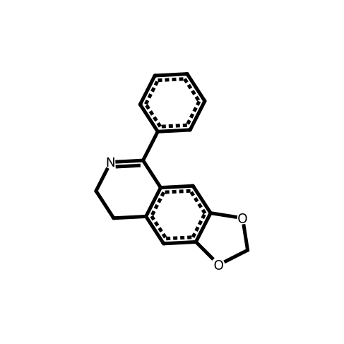 c1ccc(C2=NCCc3cc4c(cc32)OCO4)cc1